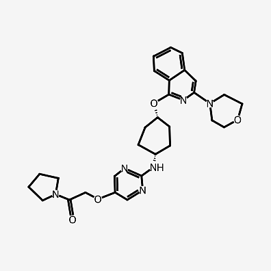 O=C(COc1cnc(N[C@H]2CC[C@@H](Oc3nc(N4CCOCC4)cc4ccccc34)CC2)nc1)N1CCCC1